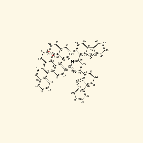 c1ccc(-c2c(-c3cccc4ccccc34)ccc(-c3nc(-c4cccc5c4sc4ccccc45)cc(-c4cccc5c4sc4ccccc45)n3)c2-c2cccc3ccccc23)cc1